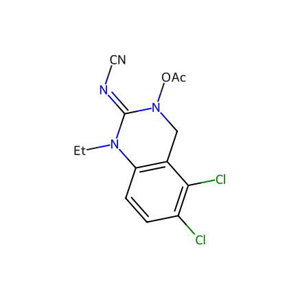 CCN1C(=NC#N)N(OC(C)=O)Cc2c1ccc(Cl)c2Cl